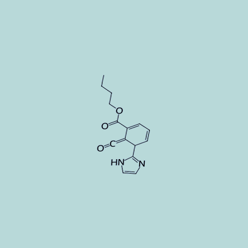 CCCCOC(=O)C1=CC=CC(c2ncc[nH]2)C1=C=O